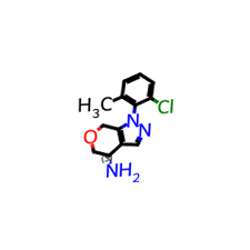 Cc1cccc(Cl)c1-n1ncc2c1COC[C@H]2N